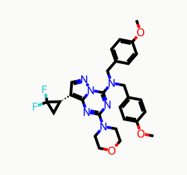 COc1ccc(CN(Cc2ccc(OC)cc2)c2nc(N3CCOCC3)nc3c([C@@H]4CC4(F)F)cnn23)cc1